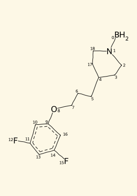 BN1CCC(CCCOc2cc(F)cc(F)c2)CC1